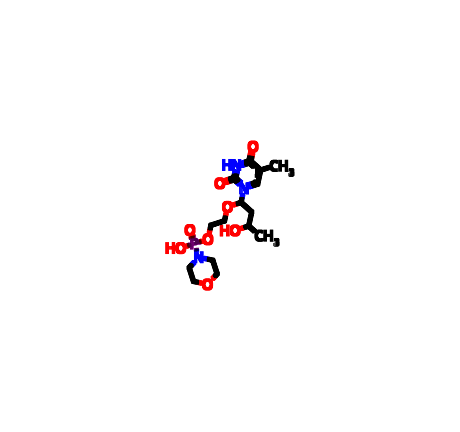 Cc1cn(C(CC(C)O)OCCOP(=O)(O)N2CCOCC2)c(=O)[nH]c1=O